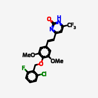 COc1cc(C=Cc2cc(C(F)(F)F)[nH]c(=O)n2)cc(OC)c1OCc1c(F)cccc1Cl